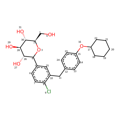 OC[C@H]1OC(c2ccc(Cl)c(Cc3ccc(OC4CCCCC4)cc3)c2)[C@H](O)[C@@H](O)[C@@H]1O